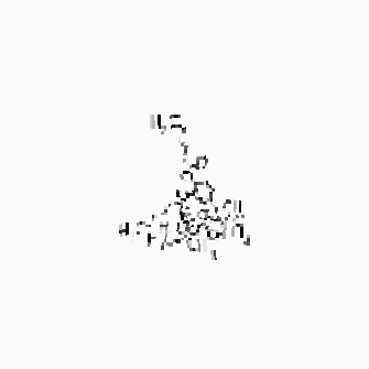 CCCCCC(=O)Oc1ccc(C[C@](NC(C)C)(OC(=O)OC(C)(C)CC)C(=O)O)cc1OC(=O)CCCCC